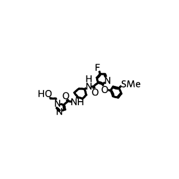 CSc1cccc(Oc2ncc(F)cc2C(=O)NC2CCC(NC(=O)c3cncn3CCO)CC2)c1